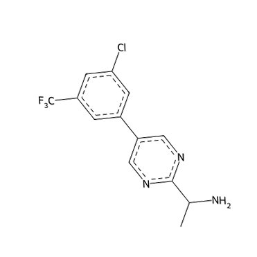 CC(N)c1ncc(-c2cc(Cl)cc(C(F)(F)F)c2)cn1